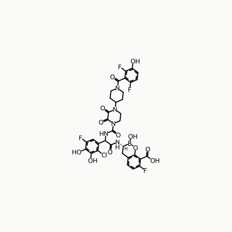 O=C(O)c1c(F)ccc2c1OB(O)[C@@H](NC(=O)C(NC(=O)N1CCN(C3CCN(C(=O)c4c(F)ccc(O)c4F)CC3)C(=O)C1=O)c1cc(F)c(O)c(O)c1Cl)C2